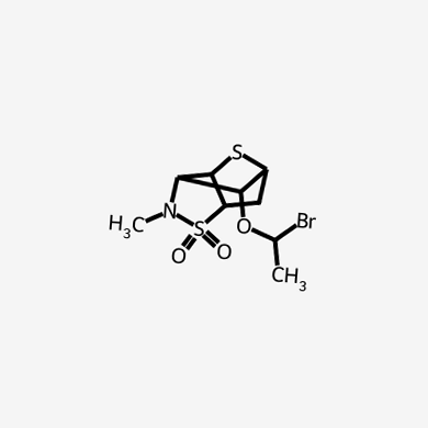 CC(Br)OC1C2CC3C(S2)C1N(C)S3(=O)=O